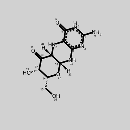 Nc1nc2c(c(=O)[nH]1)N[C@H]1C(=O)[C@@H](O)[C@@H](CO)O[C@H]1N2